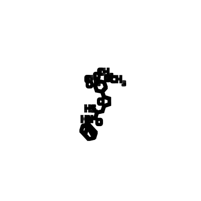 COC1CC(C2CCC(CC(S)C(=O)NC3C4CC5CC(C4)CC3C5)O2)CC(OC)C1OC